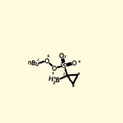 BC1(S(=O)(=O)OOCCCC)CC1